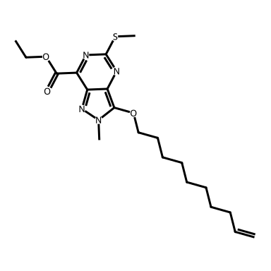 C=CCCCCCCCCOc1c2nc(SC)nc(C(=O)OCC)c2nn1C